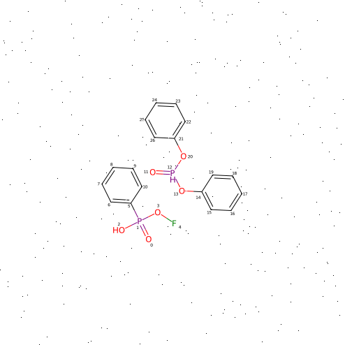 O=P(O)(OF)c1ccccc1.O=[PH](Oc1ccccc1)Oc1ccccc1